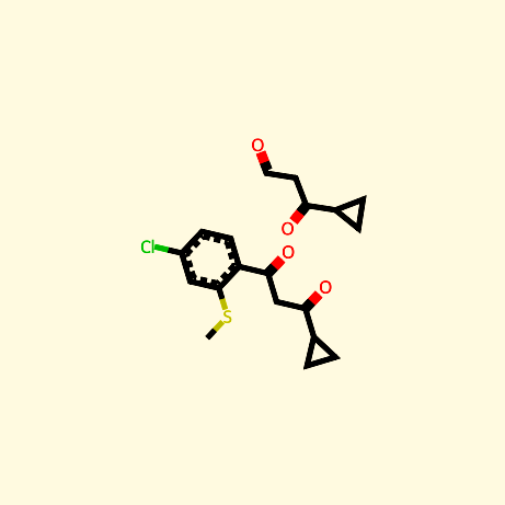 CSc1cc(Cl)ccc1C(=O)CC(=O)C1CC1.O=CCC(=O)C1CC1